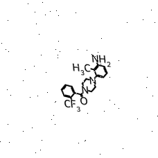 Cc1c(N)cccc1N1CCN(C(=O)c2ccccc2C(F)(F)F)CC1